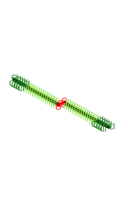 O=C(OOC(=O)C(F)(F)C(F)(F)C(F)(F)C(F)(F)C(F)(F)C(F)(F)C(F)(F)C(F)(F)C(F)(F)C(F)(F)C(F)(F)C(F)(F)C(F)(F)C(F)(F)C(F)(F)C(Cl)(Cl)C(Cl)(Cl)C(Cl)(Cl)C(Cl)(Cl)C(Cl)(Cl)CCl)C(F)(F)C(F)(F)C(F)(F)C(F)(F)C(F)(F)C(F)(F)C(F)(F)C(F)(F)C(F)(F)C(F)(F)C(F)(F)C(F)(F)C(F)(F)C(F)(F)C(F)(F)C(Cl)(Cl)C(Cl)(Cl)C(Cl)(Cl)C(Cl)(Cl)C(Cl)(Cl)CCl